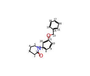 O=C1CCCCN1c1cccc(OCc2ccccc2)c1